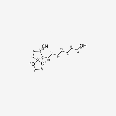 N#CC1CCC2(OCCO2)C1CCCCCCCO